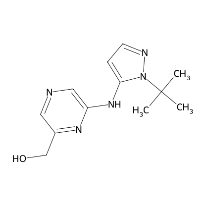 CC(C)(C)n1nccc1Nc1cncc(CO)n1